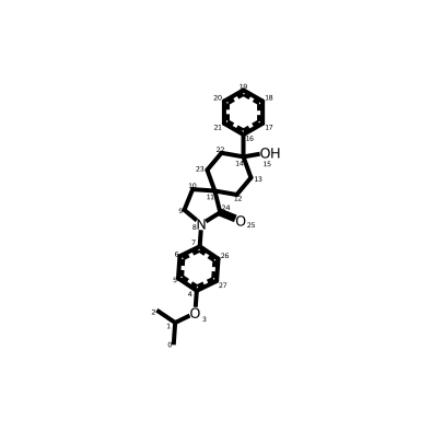 CC(C)Oc1ccc(N2CCC3(CCC(O)(c4ccccc4)CC3)C2=O)cc1